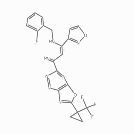 N=C(/C=C(\NCc1ccccc1F)c1ccon1)c1nnc2nc(C3(C(F)(F)F)CC3)oc2n1